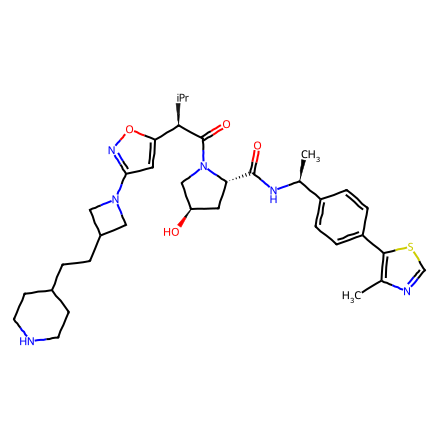 Cc1ncsc1-c1ccc([C@H](C)NC(=O)[C@@H]2C[C@@H](O)CN2C(=O)[C@@H](c2cc(N3CC(CCC4CCNCC4)C3)no2)C(C)C)cc1